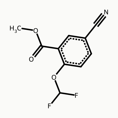 COC(=O)c1cc(C#N)ccc1OC(F)F